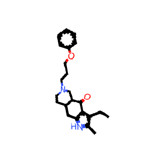 CCc1c(C)[nH]c2c1C(=O)C1CN(CCCOc3ccccc3)CCC1C2